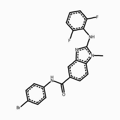 Cn1c(Nc2c(F)cccc2F)nc2cc(C(=O)Nc3ccc(Br)cc3)ccc21